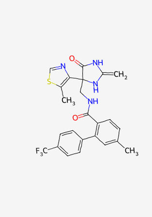 C=C1NC(=O)C(CNC(=O)c2ccc(C)cc2-c2ccc(C(F)(F)F)cc2)(c2ncsc2C)N1